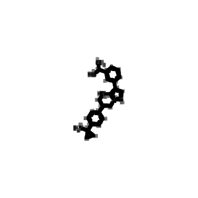 CC(O)c1cccc(-c2cnn3c2NCC(c2ccc(C4(N)CC4)cc2)=C3)c1